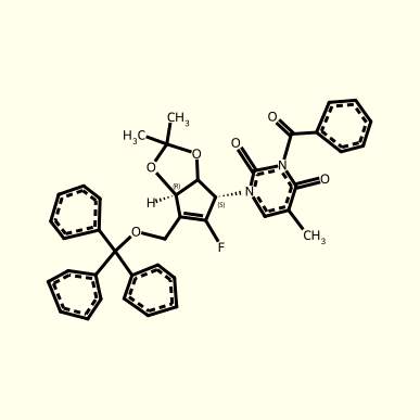 Cc1cn([C@@H]2C(F)=C(COC(c3ccccc3)(c3ccccc3)c3ccccc3)[C@H]3OC(C)(C)OC32)c(=O)n(C(=O)c2ccccc2)c1=O